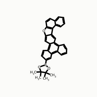 CC1(C)OB(c2ccc3c(c2)c2ccccc2c2cc4c(cc32)oc2ccc3ccccc3c24)OC1(C)C